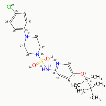 CC(C)(C)[Si](C)(C)Oc1ccc(NS(=O)(=O)N2CCN(c3ccc(Cl)cc3)CC2)nc1